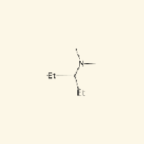 C[CH]C(CC)N(C)C